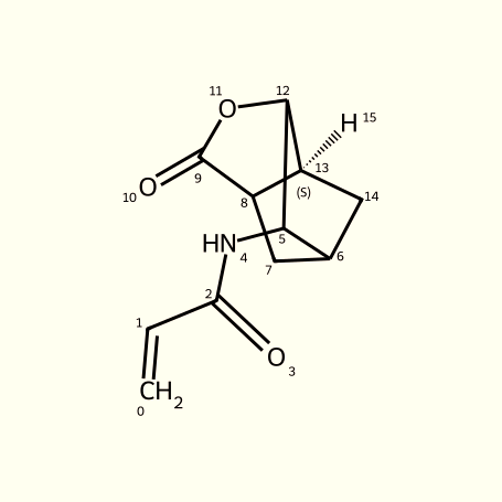 C=CC(=O)NC1C2CC3C(=O)OC1[C@H]3C2